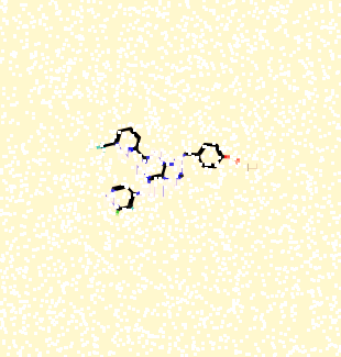 COc1ccc(Cn2cnc3c(Nc4ccnc(Cl)c4F)nc(-c4cccc(C(F)(F)F)n4)nc32)cc1